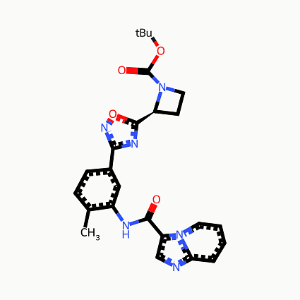 Cc1ccc(-c2noc([C@@H]3CCN3C(=O)OC(C)(C)C)n2)cc1NC(=O)c1cnc2ccccn12